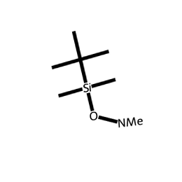 CNO[Si](C)(C)C(C)(C)C